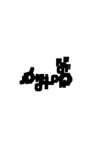 CC1CN(C)CC1NC(=O)C(C)(C)COc1ncccc1OC(F)(F)F